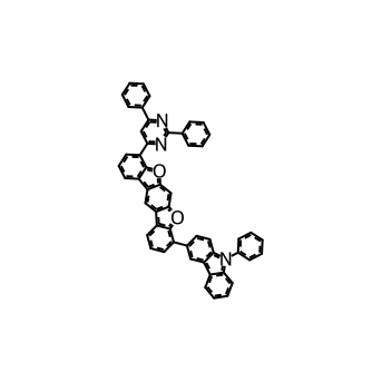 c1ccc(-c2cc(-c3cccc4c3oc3cc5oc6c(-c7ccc8c(c7)c7ccccc7n8-c7ccccc7)cccc6c5cc34)nc(-c3ccccc3)n2)cc1